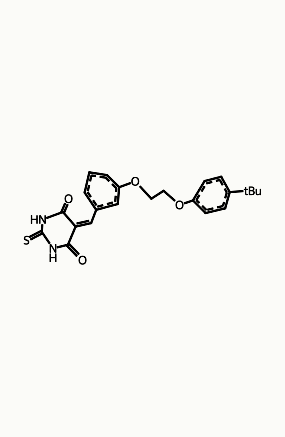 CC(C)(C)c1ccc(OCCOc2cccc(C=C3C(=O)NC(=S)NC3=O)c2)cc1